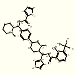 CN1CCCCC1C(NC(=O)c1cccs1)c1ccc(C2CCC(C(NC(=O)c3cccc(C(F)(F)F)c3Cl)c3ccsc3)N(C)C2)cc1